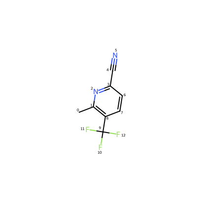 Cc1nc(C#N)ccc1C(F)(F)F